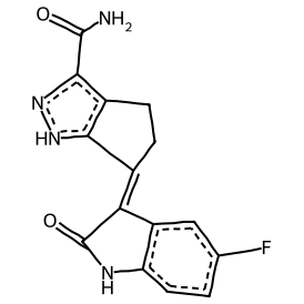 NC(=O)c1n[nH]c2c1CCC2=C1C(=O)Nc2ccc(F)cc21